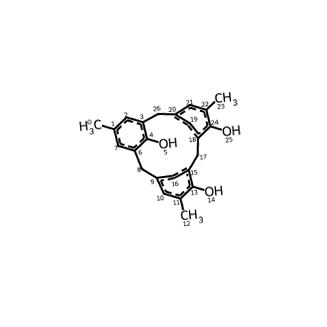 Cc1cc2c(O)c(c1)Cc1cc(C)c(O)c(c1)Cc1cc(cc(C)c1O)C2